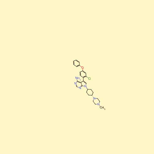 CN1CCN([C@H]2CC[C@H](n3cc(-c4ccc(Oc5ccccc5)cc4Cl)c4c(N)ncnc43)CC2)CC1